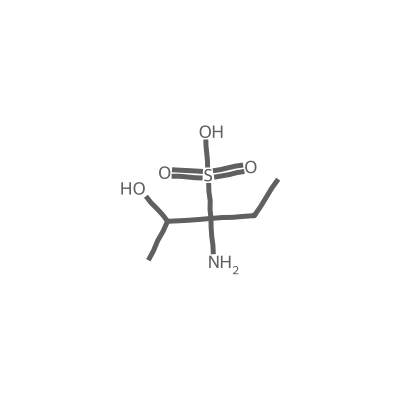 CCC(N)(C(C)O)S(=O)(=O)O